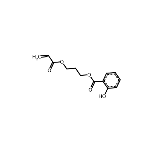 C=CC(=O)OCCCOC(=O)c1ccccc1O